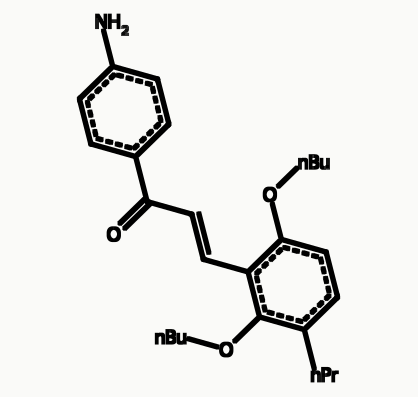 CCCCOc1ccc(CCC)c(OCCCC)c1C=CC(=O)c1ccc(N)cc1